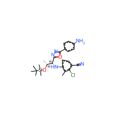 Cc1c(N[C@@H](c2nnc(-c3ccc(N)cc3)o2)[C@@H](C)O[Si](C)(C)C(C)(C)C)ccc(C#N)c1Cl